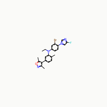 CCN(c1ccc(-n2cnc(F)c2)c(Br)c1)c1cc(-c2c(C)noc2C)ccc1C